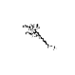 CCCC(=O)OC(C)OC(=O)C(CCCCCCCCCC(=O)O)C(C)OC(=O)CCC